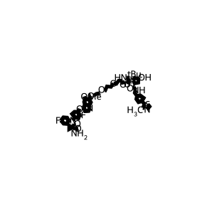 COc1cc2c(Oc3ccc(N(C(=O)C4(C(N)=O)CC4)c4ccc(F)cc4)cc3F)ccnc2cc1OCCCOCCCOCCC(=O)N[C@H](C(=O)N1C[C@H](O)C[C@H]1C(=O)NCc1ccc(-c2scnc2C)cc1)C(C)(C)C